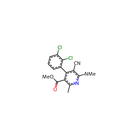 CNc1nc(C)c(C(=O)OC)c(-c2cccc(Cl)c2Cl)c1C#N